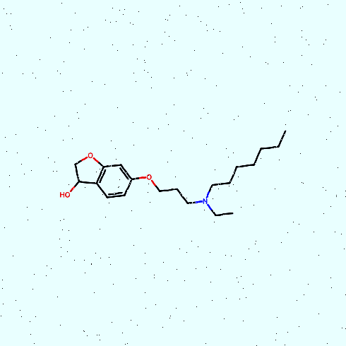 CCCCCCCN(CC)CCCOc1ccc2c(c1)OCC2O